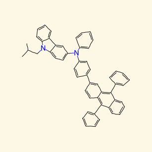 CC(C)Cn1c2ccccc2c2cc(N(c3ccccc3)c3ccc(-c4ccc5c(-c6ccccc6)c6ccccc6c(-c6ccccc6)c5c4)cc3)ccc21